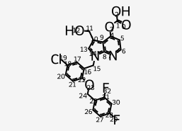 O=C(O)Oc1ccnc2c1c(CO)cn2Cc1cc(Cl)ccc1OCc1ccc(F)cc1F